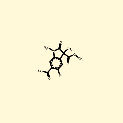 COC(=O)C1(C)C(=O)N(C)c2cc(C(=O)O)c(Br)cc21